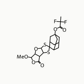 COC1OC(=O)C2C1OC1SC3(SC12)C1CC2CC3CC(OC(=O)C(C)(F)F)(C2)C1